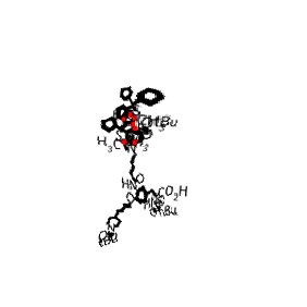 CCCCS(=O)(=O)N[C@@H](Cc1ccc(OCCCCC2CCN(C(=O)OC(C)(C)C)CC2)c(NC(=O)CCCCN(CCN(CC(C)(C)SC(c2ccccc2)(c2ccccc2)c2ccccc2)C(=O)OC(C)(C)C)CC(C)(C)SC(c2ccccc2)(c2ccccc2)c2ccccc2)c1)C(=O)O